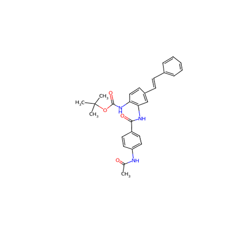 CC(=O)Nc1ccc(C(=O)Nc2cc(/C=C/c3ccccc3)ccc2NC(=O)OC(C)(C)C)cc1